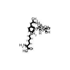 CC(N)Cc1ccccc1.CS(=O)(=O)O.CS(=O)(=O)O.NCCCCC(N)C(=O)O